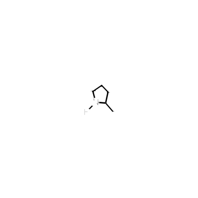 CC1CC[CH]N1F